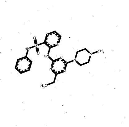 CCc1nc(Nc2ncccc2S(=O)(=O)Nc2ccccc2)nc(N2CCN(C)CC2)n1